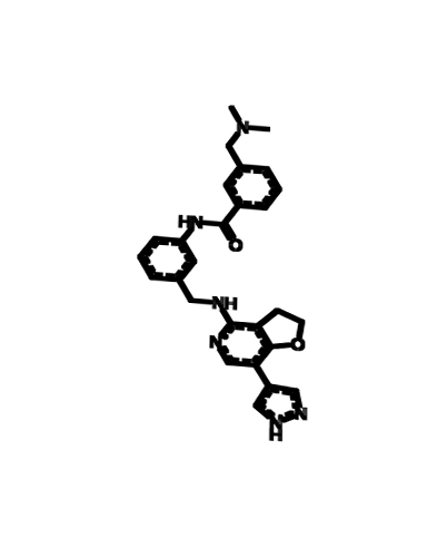 CN(C)Cc1cccc(C(=O)Nc2cccc(CNc3ncc(-c4cn[nH]c4)c4c3CCO4)c2)c1